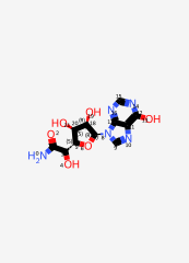 NC(=O)C(O)[C@H]1O[C@@H](n2cnc3c(O)ncnc32)[C@H](O)[C@@H]1O